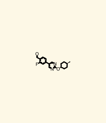 C[C@H]1CC[C@@H](Oc2ncc(-c3ccc(C=O)c(F)c3)cn2)CC1